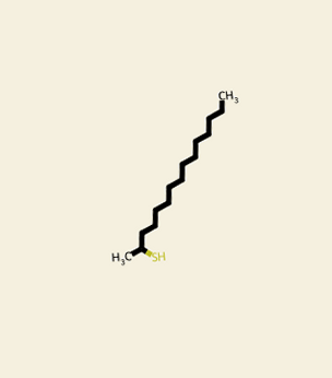 CCCCCCCCCCCCCC(C)S